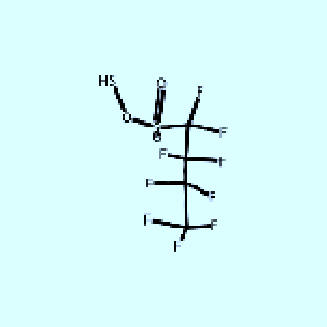 O=S(=O)(OS)C(F)(F)C(F)(F)C(F)(F)C(F)(F)F